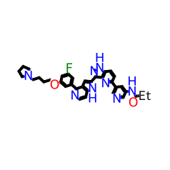 CCC(=O)Nc1cncc(-c2ccc3[nH]nc(-c4cc5c(-c6cc(F)cc(OCCCCN7CCCC7)c6)nccc5[nH]4)c3n2)c1